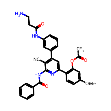 COc1ccc(-c2cc(-c3cccc(NC(=O)CCN)c3)c(C#N)c(NC(=O)c3ccccc3)n2)c(OC(=O)C(F)(F)F)c1